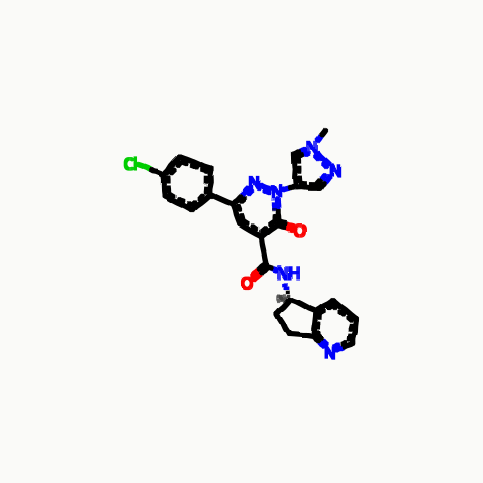 Cn1cc(-n2nc(-c3ccc(Cl)cc3)cc(C(=O)N[C@H]3CCc4ncccc43)c2=O)cn1